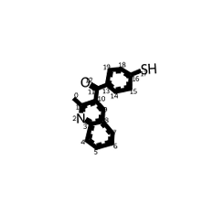 Cc1nc2ccccc2cc1C(=O)c1ccc(S)cc1